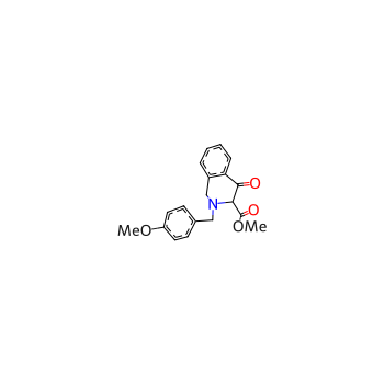 COC(=O)C1C(=O)c2ccccc2CN1Cc1ccc(OC)cc1